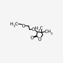 CCOCCOC1C(=O)OCC1(C)C